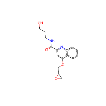 O=C(NCCCO)c1cc(OCC2CO2)c2ccccc2n1